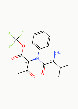 CC(=O)[C@@H](C(=O)OC(F)(F)F)N(C(=O)[C@@H](N)C(C)C)c1ccccc1